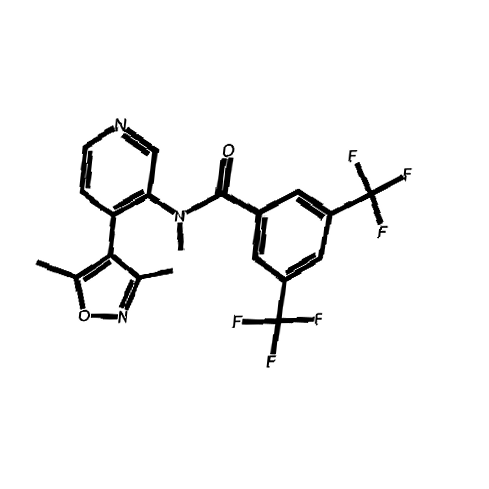 Cc1noc(C)c1-c1ccncc1N(C)C(=O)c1cc(C(F)(F)F)cc(C(F)(F)F)c1